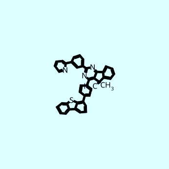 CC1(C)c2ccccc2-c2nc(-c3cccc(-c4ccccn4)c3)nc(-c3ccc(-c4cccc5c4sc4ccccc45)cc3)c21